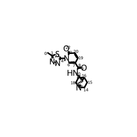 Cc1nnc(-n2cc(C(=O)NC3CN4CCC3CC4)ccc2=O)s1